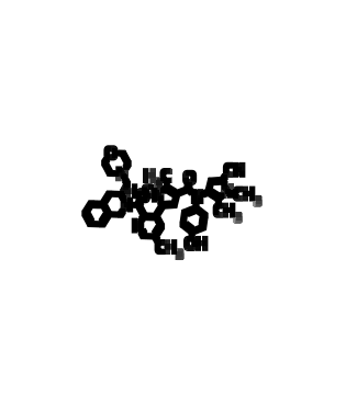 Cc1cnc(C(=O)N2Cc3ccccc3C[C@H]2CN2CCOCC2)c(-c2cc(C(=O)N(c3ccc(O)cc3)c3cc(C#N)n(C)c3C)c(C)n2C)c1